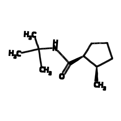 C[C@@H]1CCC[C@@H]1C(=O)NC(C)(C)C